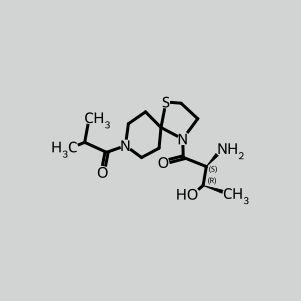 CC(C)C(=O)N1CCC2(CC1)SCCN2C(=O)[C@@H](N)[C@@H](C)O